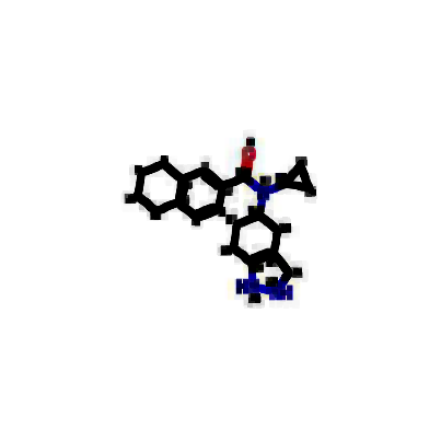 O=C(c1ccc2c(c1)CCCC2)N(C1CC1)C1CCC2=C(CNN2)C1